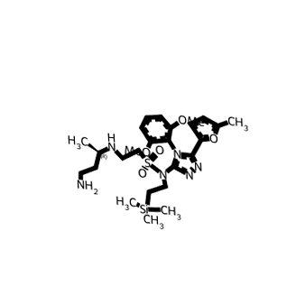 COc1cccc(OC)c1-n1c(-c2ccc(C)o2)nnc1N(CC[Si](C)(C)C)S(=O)(=O)CCN[C@H](C)CCN